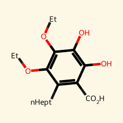 CCCCCCCc1c(OCC)c(OCC)c(O)c(O)c1C(=O)O